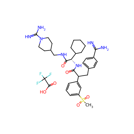 CS(=O)(=O)c1cccc(C(Cc2ccc(C(=N)N)cc2)C(=O)N[C@H](C(=O)NCC2CCN(C(=N)N)CC2)C2CCCCC2)c1.O=C(O)C(F)(F)F